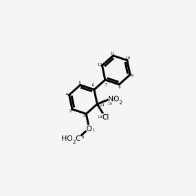 O=C(O)OC1C=CC=C(c2ccccc2)C1(Cl)[N+](=O)[O-]